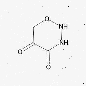 O=C1CONNC1=O